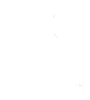 Cc1ccc(-c2nc(C(C)C)cc3ccccc23)cc1